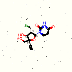 C#C[C@]1(CO)O[C@@H](n2ccc(=O)[nH]c2=O)[C@@H](CF)[C@@H]1O